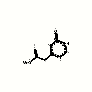 COC(=O)Cc1cc(=O)[nH]cn1